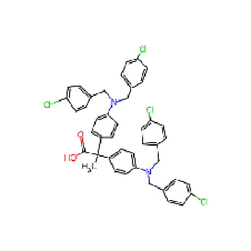 CC(C(=O)O)(c1ccc(N(Cc2ccc(Cl)cc2)Cc2ccc(Cl)cc2)cc1)c1ccc(N(Cc2ccc(Cl)cc2)Cc2ccc(Cl)cc2)cc1